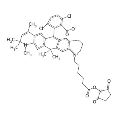 CC1=CC(C)(C)N(C)c2cc3c(cc21)C(c1c(Cl)ccc(Cl)c1C(=O)[O-])=c1cc2c(cc1C3(C)C)=[N+](CCCCCC(=O)ON1C(=O)CCC1=O)CCC2